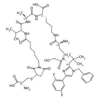 CC(C)C(NC(=O)CCCCCN1C(=O)CC(SC[C@H](N)C(=O)O)C1=O)C(=O)N[C@@H](C)C(=O)N[C@@H](CCCCNC(=O)[C@@H](N)CCN(C(=O)CO)[C@@H](c1nc(-c2cc(F)ccc2F)cn1Cc1ccccc1)C(C)(C)C)C(=O)O